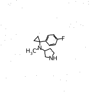 CN(C1CCNC1)C1(c2ccc(F)cc2)CC1